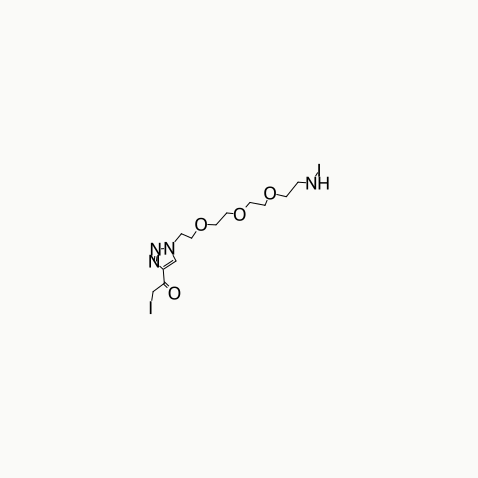 O=C(CI)c1cn(CCOCCOCCOCCNI)nn1